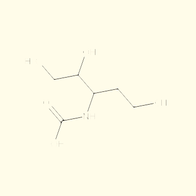 CCCC(NC(=O)O)C(O)CC